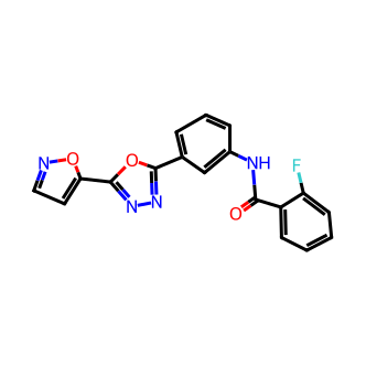 O=C(Nc1cccc(-c2nnc(-c3ccno3)o2)c1)c1ccccc1F